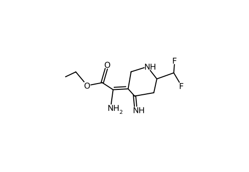 CCOC(=O)/C(N)=C1\CNC(C(F)F)CC1=N